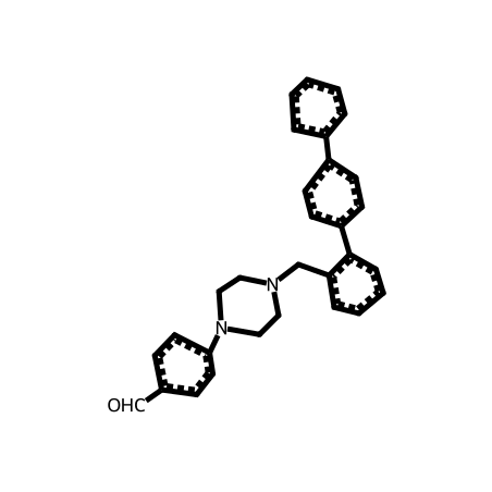 O=Cc1ccc(N2CCN(Cc3ccccc3-c3ccc(-c4ccccc4)cc3)CC2)cc1